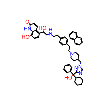 O=c1ccc2c([C@@H](O)CNCCc3ccc(CCN4CCC(Cn5cnc([C@](O)(c6ccccc6)C6CCCCC6)n5)CC4)cc3)ccc(O)c2[nH]1.c1ccc2ccccc2c1